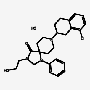 Cl.O=C1N(CCO)CN(c2ccccc2)C12CCN(C1CCc3cccc(Cl)c3C1)CC2